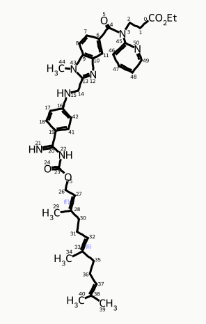 CCOC(=O)CCN(C(=O)c1ccc2c(c1)nc(CNc1ccc(C(=N)NC(=O)OC/C=C(\C)CC/C=C(\C)CCC=C(C)C)cc1)n2C)c1ccccn1